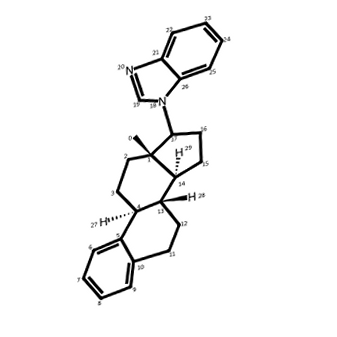 C[C@]12CC[C@@H]3c4ccccc4CC[C@H]3[C@@H]1CCC2n1cnc2ccccc21